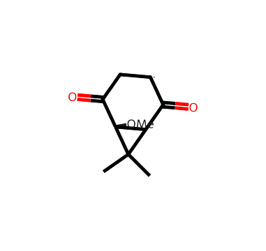 COC12C(=O)C[CH]C(=O)C1C2(C)C